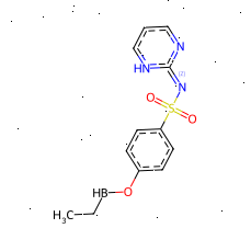 CCBOc1ccc(S(=O)(=O)/N=c2/nccc[nH]2)cc1